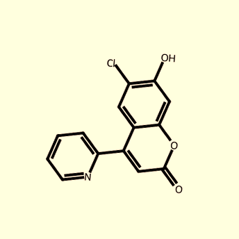 O=c1cc(-c2ccccn2)c2cc(Cl)c(O)cc2o1